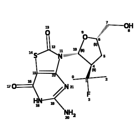 CC(C)(F)[C@@H]1C[C@@H](CO)O[C@H]1n1c(=O)sc2c(=O)[nH]c(N)nc21